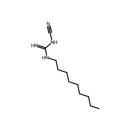 CCCCCCCCCNC(=N)NC#N